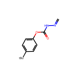 C=NNC(=O)Oc1ccc(C(C)(C)C)cc1